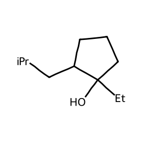 CCC1(O)CCCC1CC(C)C